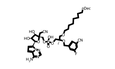 CCCCCCCCCCCCCCCCCCOC[C@](C)(COP(=O)(O)OC[C@@]1(CC#N)O[C@@H](c2ccc3c(N)ncnn23)[C@H](O)[C@@H]1O)OCc1cc(F)cc(C#N)c1